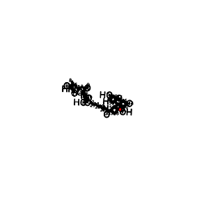 COC1C[C@H](n2cc(C)c(=O)[nH]c2=O)O[C@@H]1COP(=O)(O)OCCCCCCNC(=O)c1ccc(C(=O)O)c(-c2c3ccc(=O)cc-3oc3cc(O)ccc23)c1